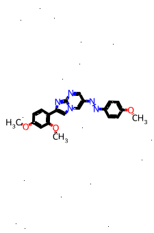 COc1ccc(N=Nc2cnc3nc(-c4ccc(OC)cc4OC)cn3c2)cc1